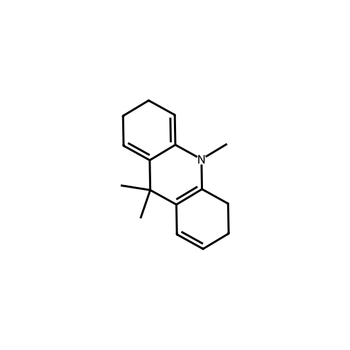 CN1C2=CCCC=C2C(C)(C)C2=C1CCC=C2